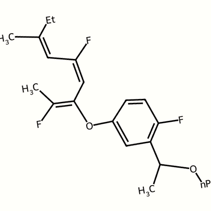 CCCOC(C)c1cc(OC(/C=C(F)\C=C(\C)CC)=C(/C)F)ccc1F